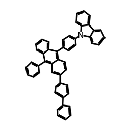 c1ccc(-c2ccc(-c3ccc4c(-c5ccc(-n6c7ccccc7c7ccccc76)cc5)c5ccccc5c(-c5ccccc5)c4c3)cc2)cc1